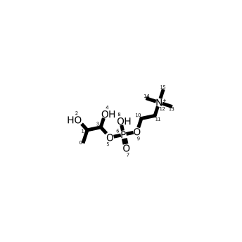 CC(O)C(O)OP(=O)(O)OCC[N+](C)(C)C